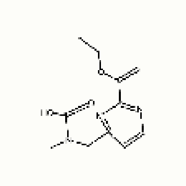 C=C(OCC)c1nccc(CN(C)C(=O)O)n1